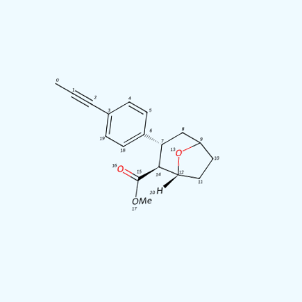 CC#Cc1ccc([C@@H]2CC3CC[C@@H](O3)[C@H]2C(=O)OC)cc1